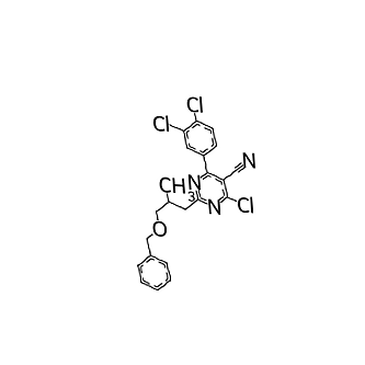 CC(COCc1ccccc1)Cc1nc(Cl)c(C#N)c(-c2ccc(Cl)c(Cl)c2)n1